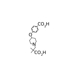 CC(C)(CN1CCC(Oc2ccc(C(=O)O)cc2)CC1)C(=O)O